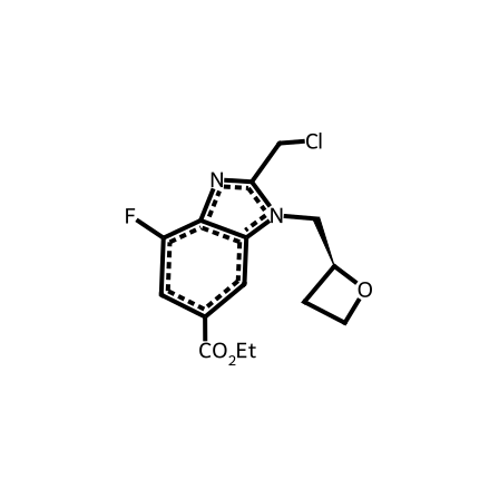 CCOC(=O)c1cc(F)c2nc(CCl)n(C[C@@H]3CCO3)c2c1